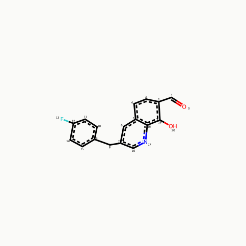 O=Cc1ccc2cc(Cc3ccc(F)cc3)cnc2c1O